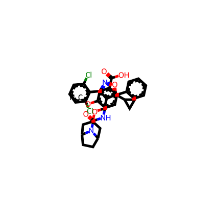 COc1cc(C(=O)O)c(-c2ccccc2)cc1NC(=O)N1C2CCC1CC(OCc1c(-c3c(Cl)cccc3Cl)noc1C1CC1)C2